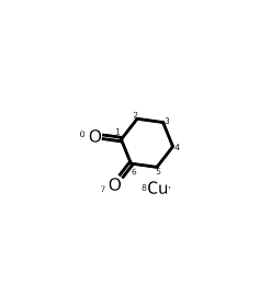 O=C1CCCCC1=O.[Cu]